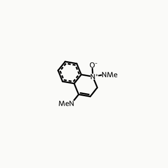 CNC1=CC[N+]([O-])(NC)c2ccccc21